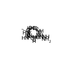 CCCCCC(=O)N[C@H]1CCC(=O)NCCCCNC(=O)[C@H](CCCNC(=N)N)NC(=O)[C@@H](Cc2ccccc2)NC(=O)[C@H](Cc2c[nH]cn2)NC1=O